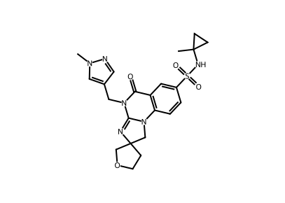 Cn1cc(CN2C(=O)c3cc(S(=O)(=O)NC4(C)CC4)ccc3N3CC4(CCOC4)N=C23)cn1